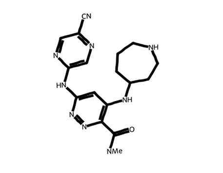 CNC(=O)c1nnc(Nc2cnc(C#N)cn2)cc1NC1CCCNCC1